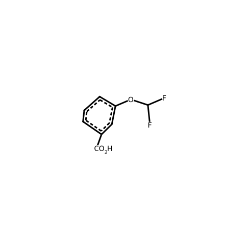 O=C(O)c1cccc(OC(F)F)c1